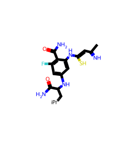 CC(=N)/C=C(\S)Nc1cc(NC(CC(C)C)C(N)=O)cc(F)c1C(N)=O